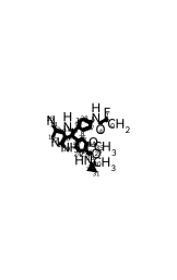 C=C(F)C(=O)Nc1ccc(-c2[nH]c3c(C#N)cnc(N)c3c2-c2ccc(C(=O)NC3(C)CC3)c(OC)c2)cc1